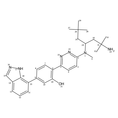 CN(c1ccc(-c2ccc(-c3cccc4cn[nH]c34)cc2O)nn1)C(CC(C)(C)C)CC(C)(C)N